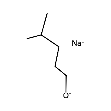 CC(C)CCC[O-].[Na+]